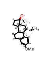 C=C[C@H]1C[C@]2(C)C(=O)CCC2C2CCc3cc(OC)ccc3C21